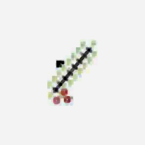 O=S(=O)([O-])C(F)(F)C(F)(F)C(F)(F)C(F)(F)C(F)(F)C(F)(F)C(F)(F)C(F)(F)F.[K+]